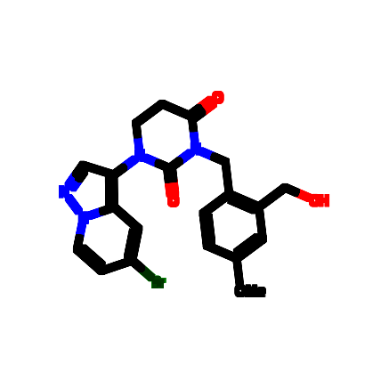 COc1ccc(CN2C(=O)CCN(c3cnn4ccc(Br)cc34)C2=O)c(CO)c1